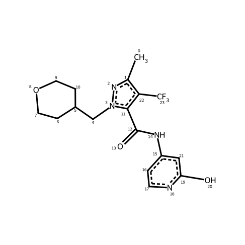 Cc1nn(CC2CCOCC2)c(C(=O)Nc2ccnc(O)c2)c1C(F)(F)F